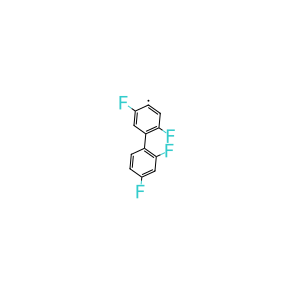 Fc1[c]cc(F)c(-c2ccc(F)cc2F)c1